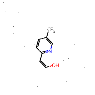 O/C=C\c1ccc(C(F)(F)F)cn1